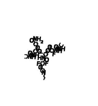 CCCCN1CCC(Oc2cc(F)c(C(=O)Nc3ccc(Oc4cc(F)c(NC(=O)NC(CC)CC)cc4OC)cc3)cc2F)CC1.CCOc1cc(NC(=O)NC(CC)CC)ccc1Oc1ccc(C(N)=O)cc1